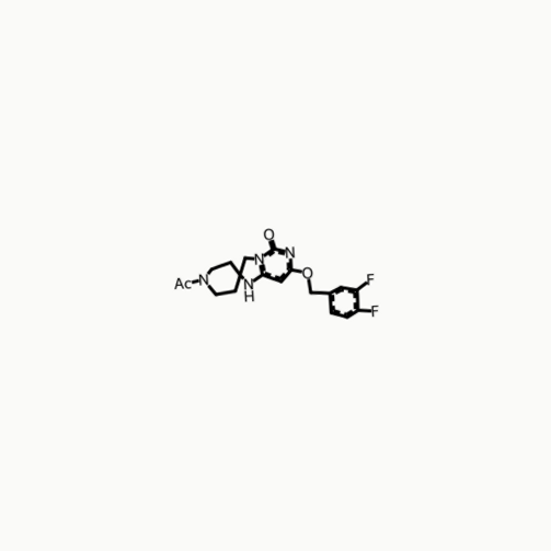 CC(=O)N1CCC2(CC1)Cn1c(cc(OCc3ccc(F)c(F)c3)nc1=O)N2